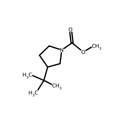 COC(=O)N1CCC(C(C)(C)C)C1